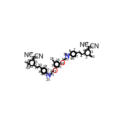 C=C1CC(/C=C/c2ccc(N(C)CCOc3cc(C)cc(OCCN(C)c4ccc(/C=C/C5=CC(=C(C#N)C#N)CC(C)(C)C5)cc4)c3)cc2)=CC(=C(C#N)C#N)C1